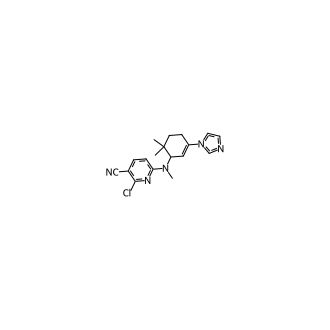 CN(c1ccc(C#N)c(Cl)n1)C1C=C(n2ccnc2)CCC1(C)C